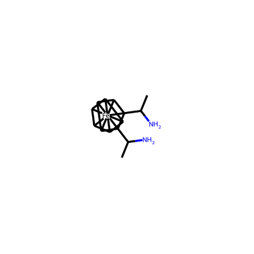 CC(N)[C]12[CH]3[CH]4[CH]5[C]1(C(C)N)[Fe]43521678[CH]2[CH]1[CH]6[CH]7[CH]28